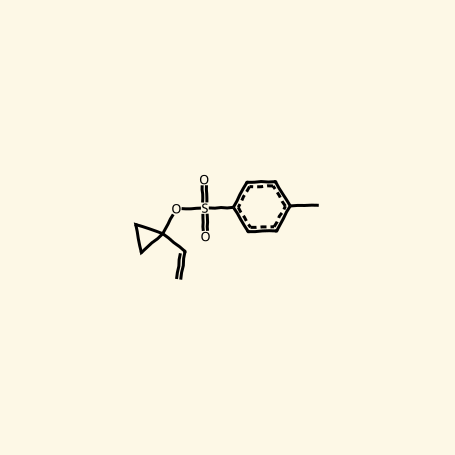 C=CC1(OS(=O)(=O)c2ccc(C)cc2)CC1